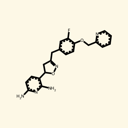 Nc1ccc(C2CC(Cc3ccc(OCc4ccccn4)c(F)c3)=NO2)c(N)n1